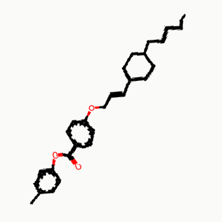 CCCCCC1CCC(C=CCOc2ccc(C(=O)Oc3ccc(C)cc3)cc2)CC1